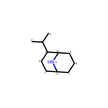 CC(C)C1CCC2CCCC1N2